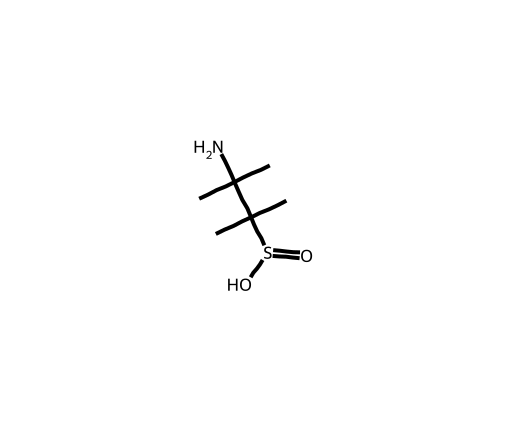 CC(C)(N)C(C)(C)S(=O)O